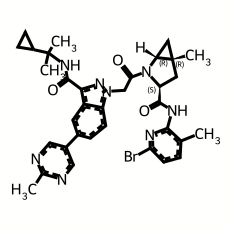 Cc1ncc(-c2ccc3c(c2)c(C(=O)NC(C)(C)C2CC2)nn3CC(=O)N2[C@H](C(=O)Nc3nc(Br)ccc3C)C[C@@]3(C)C[C@@H]23)cn1